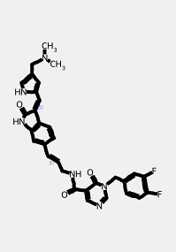 CN(C)Cc1c[nH]c(/C=C2\C(=O)Nc3cc(/C=C/CNC(=O)c4cncn(Cc5ccc(F)c(F)c5)c4=O)ccc32)c1